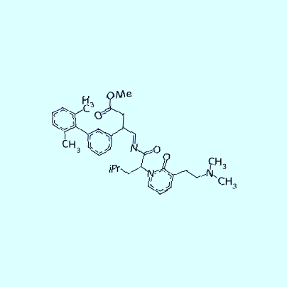 COC(=O)CC(/C=N/C(=O)C(CC(C)C)n1cccc(CCN(C)C)c1=O)c1cccc(-c2c(C)cccc2C)c1